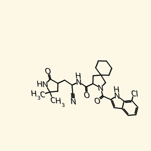 CC1(C)CC(CC(C#N)NC(=O)C2CC3(CCCCC3)CN2C(=O)c2cc3cccc(Cl)c3[nH]2)C(=O)N1